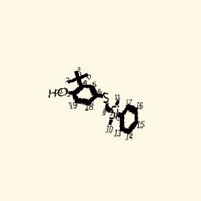 CC(C)(C)c1cc(SC[Si](C)(C)c2ccccc2)ccc1O